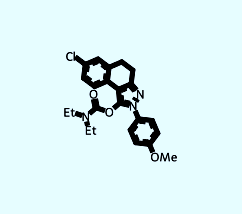 CCN(CC)C(=O)Oc1c2c(nn1-c1ccc(OC)cc1)CCc1cc(Cl)ccc1-2